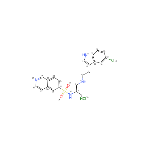 CC(CNCCc1c[nH]c2ccc(Cl)cc12)NS(=O)(=O)c1ccc2cnccc2c1.Cl